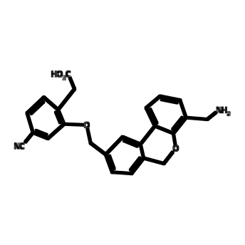 N#Cc1ccc(CC(=O)O)c(OCc2ccc3c(c2)-c2cccc(CN)c2OC3)c1